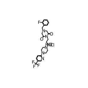 Cl.Cl.O=C1CN(Cc2ccccc2F)CC(=O)N1CCCN1CCN(c2ccc(C(F)(F)F)cn2)CC1